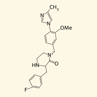 COc1cc(/C=[N+]2\CCNC(Cc3ccc(F)cc3)C2=O)ccc1-n1cnc(C)c1